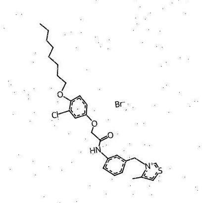 CCCCCCCCOc1ccc(OCC(=O)Nc2cccc(C[n+]3cscc3C)c2)cc1Cl.[Br-]